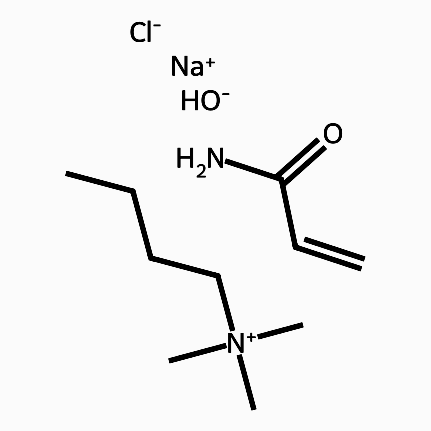 C=CC(N)=O.CCCC[N+](C)(C)C.[Cl-].[Na+].[OH-]